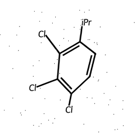 CC(C)c1ccc(Cl)c(Cl)c1Cl